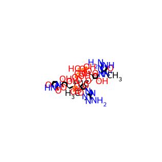 COC[C@H]1[C@@H](O)[C@H](n2c[n+](C)c3c(=O)[nH]c(N)nc32)O[C@@H]1COP(=O)(O)OP(=O)(O)OP(=O)(O)OC[C@H]1O[C@@H](n2cnc3c(N)ncnc32)[C@H](OC)[C@@H]1OP(=O)([O-])CC[C@H]1O[C@@H](n2ccc(=O)[nH]c2=O)[C@H](O)[C@@H]1O